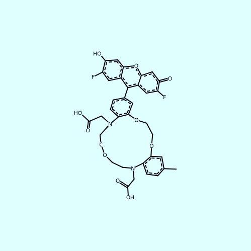 Cc1ccc2c(c1)OCCOc1cc(-c3c4cc(F)c(=O)cc-4oc4cc(O)c(F)cc34)ccc1N(CC(=O)O)CCOCCN2CC(=O)O